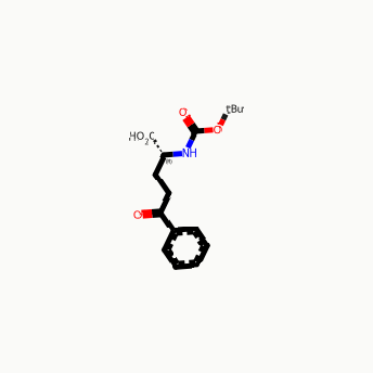 CC(C)(C)OC(=O)N[C@H](CCC(=O)c1ccccc1)C(=O)O